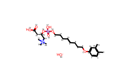 Cc1ccc(OCCCCCCCCOP(=O)(O)O[C@H](CC(=O)O)C[N+](C)(C)C)cc1C.[OH-]